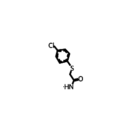 [NH]C(=O)CSc1ccc(Cl)cc1